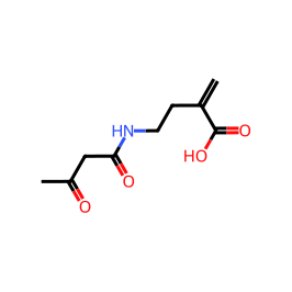 C=C(CCNC(=O)CC(C)=O)C(=O)O